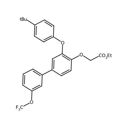 CCOC(=O)COc1ccc(-c2cccc(OC(F)(F)F)c2)cc1Oc1ccc(C(C)(C)C)cc1